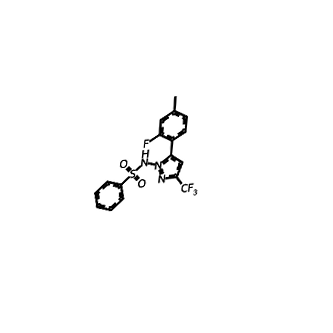 Cc1ccc(-c2cc(C(F)(F)F)nn2NS(=O)(=O)c2ccccc2)c(F)c1